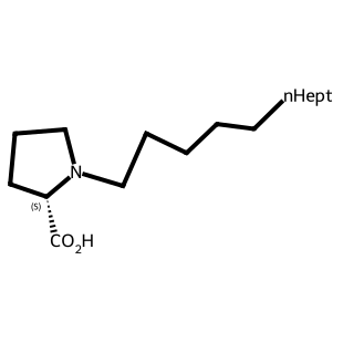 CCCCCCCCCCCCN1CCC[C@H]1C(=O)O